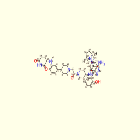 CN(c1cccc(C2CCN(CC(=O)N3CCC(Nc4cccc(N5[C@@H]6CC[C@H]5CN(c5cc(-c7ccccc7O)nnc5N)C6)c4)CC3)CC2)c1)[C@H]1CCC(=O)NC1=O